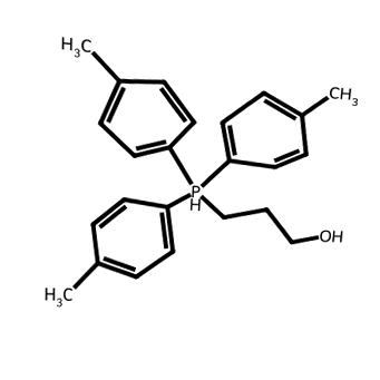 Cc1ccc([PH](CCCO)(c2ccc(C)cc2)c2ccc(C)cc2)cc1